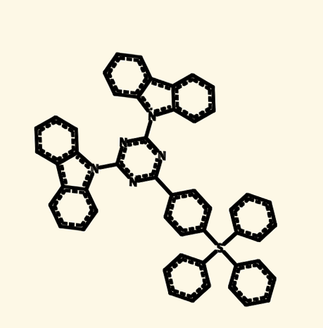 c1ccc(S(c2ccccc2)(c2ccccc2)c2ccc(-c3nc(-n4c5ccccc5c5ccccc54)nc(-n4c5ccccc5c5ccccc54)n3)cc2)cc1